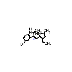 C=Cc1cc(C)[nH]c1/C=c1\c(=C)[nH]c2ccc(Br)cc12